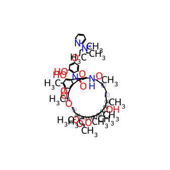 CO[C@H]1/C=C/O[C@@]2(C)Oc3c(C)c(O)c4c(=O)c(c5oc6cc(OCC[N+](C)(c7ccccn7)C(C)C)cc(O)c6nc-5c4c3C2=O)NC(=O)/C(C)=C\C=C\[C@H](C)[C@H](O)[C@@H](C)[C@@H](C)[C@@H](C)[C@H](OC(C)=O)[C@@H]1C